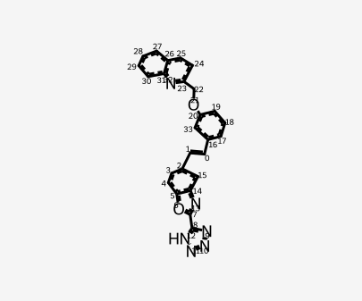 C(=Cc1ccc2oc(-c3nnn[nH]3)nc2c1)c1cccc(OCc2ccc3ccccc3n2)c1